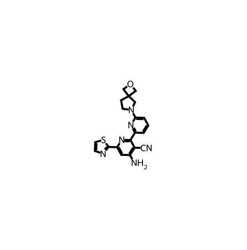 N#Cc1c(N)cc(-c2nccs2)nc1-c1cccc(N2CCC3(COC3)C2)n1